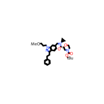 COCCCn1nc(CCc2ccccc2)c2ccc(CN(C(=O)[C@H]3CN(C(=O)OC(C)(C)C)CCO3)C3CC3)cc21